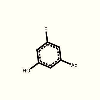 CC(=O)c1cc(O)cc(F)c1